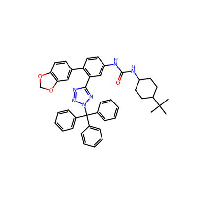 CC(C)(C)C1CCC(NC(=O)Nc2ccc(-c3ccc4c(c3)OCO4)c(-c3nnn(C(c4ccccc4)(c4ccccc4)c4ccccc4)n3)c2)CC1